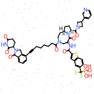 O=C1CCC(N2Cc3c(C#CCCCCCC(=O)N4CC[C@H]5CC[C@@H](C(=O)N6CC(c7cccnc7)C6)N5C(=O)[C@@H](NC(=O)c5cc6cc(C(F)(F)P(=O)(O)O)ccc6s5)C4)cccc3C2=O)C(=O)N1